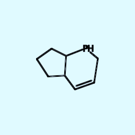 C1=CC2CCCC2PC1